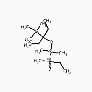 CCC(CC)(O[Si](C)(C)[C@](C)(F)CC)[Si](C)(C)C